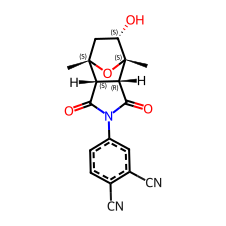 C[C@@]12O[C@@](C)(C[C@@H]1O)[C@H]1C(=O)N(c3ccc(C#N)c(C#N)c3)C(=O)[C@H]12